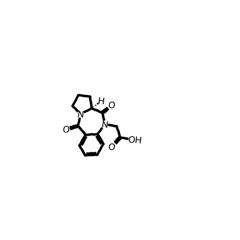 O=C(O)CN1C(=O)[C@@H]2CCCN2C(=O)c2ccccc21